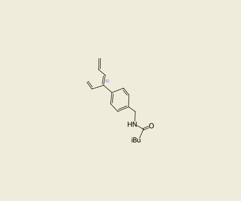 C=C/C=C(\C=C)c1ccc(CNC(=O)C(C)CC)cc1